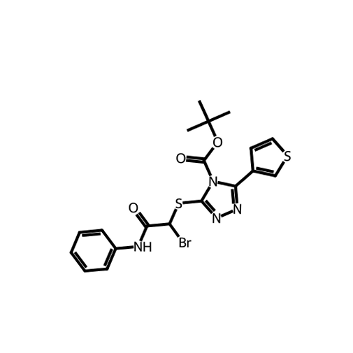 CC(C)(C)OC(=O)n1c(SC(Br)C(=O)Nc2ccccc2)nnc1-c1ccsc1